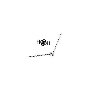 CCCCCCCCCCCCCCCCCCN(C)CCCCCCCCCCCCCCCCCC.O=S(=O)(O)O